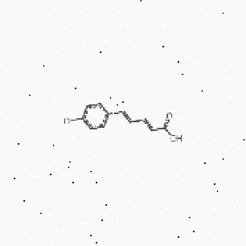 O=C(O)/C=C/C=C/c1ccc(Cl)cc1